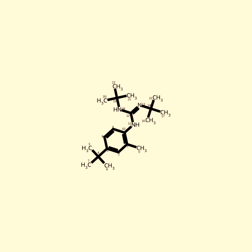 Cc1cc(C(C)(C)C)ccc1N/C(=N\C(C)(C)C)NC(C)(C)C